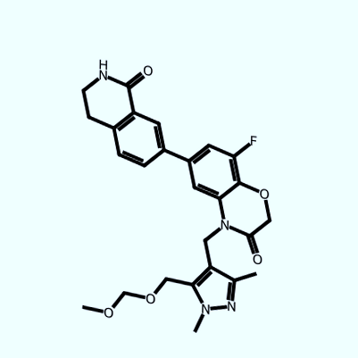 COCOCc1c(CN2C(=O)COc3c(F)cc(-c4ccc5c(c4)C(=O)NCC5)cc32)c(C)nn1C